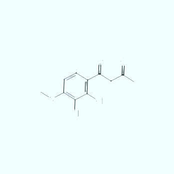 CSc1ccc(C(=O)CC(C)=O)c(Cl)c1Cl